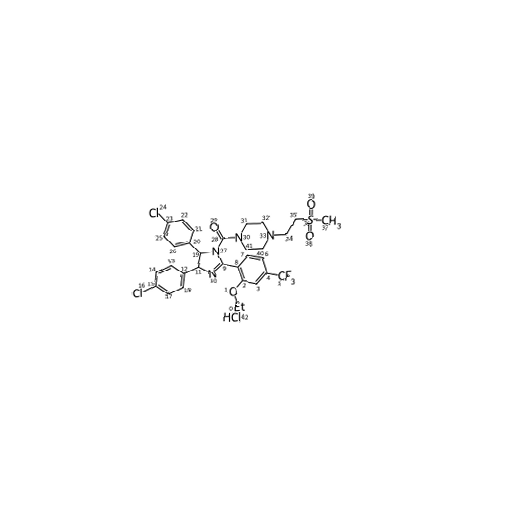 CCOc1cc(C(F)(F)F)ccc1C1=NC(c2ccc(Cl)cc2)C(c2ccc(Cl)cc2)N1C(=O)N1CCN(CCS(C)(=O)=O)CC1.Cl